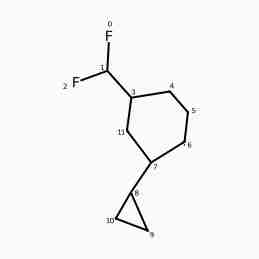 FC(F)C1CC[CH]C(C2CC2)C1